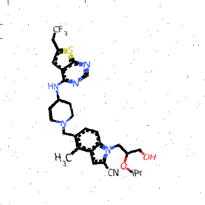 Cc1c(CN2CCC(Nc3ncnc4sc(CC(F)(F)F)cc34)CC2)ccc2c1cc(C#N)n2CC(CO)OC(C)C